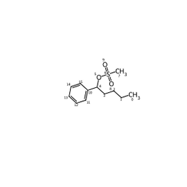 CCCCC(OS(C)(=O)=O)c1ccccc1